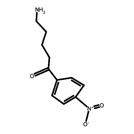 NCCCCC(=O)c1ccc([N+](=O)[O-])cc1